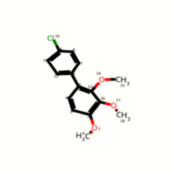 COc1c[c]c(-c2ccc(Cl)cc2)c(OC)c1OC